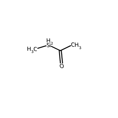 C[SiH2]C(C)=O